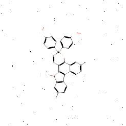 COc1ccc(C2(c3ccc(OC)cc3)C=Cc3c4c(c5ccc(C)cc5c3O2)-c2ccc(C)cc2C4O)cc1